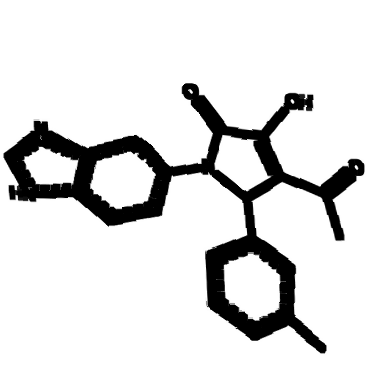 CC(=O)C1=C(O)C(=O)N(c2ccc3[nH]cnc3c2)C1c1cccc(C)c1